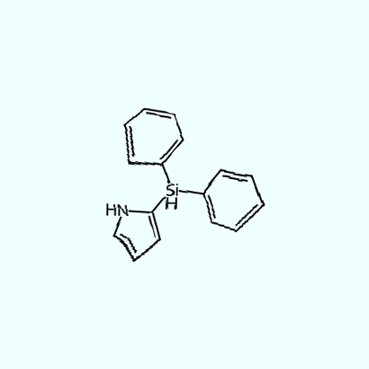 c1ccc([SiH](c2ccccc2)c2ccc[nH]2)cc1